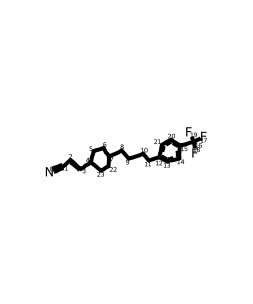 N#CC=CC1CCC(CCCCc2ccc(C(F)(F)F)cc2)CC1